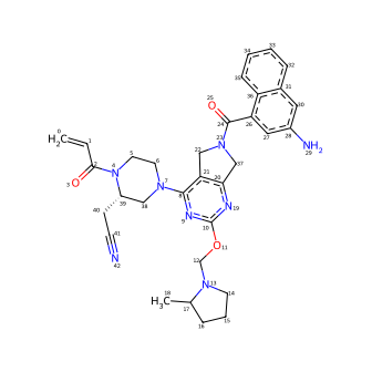 C=CC(=O)N1CCN(c2nc(OCN3CCCC3C)nc3c2CN(C(=O)c2cc(N)cc4ccccc24)C3)C[C@@H]1CC#N